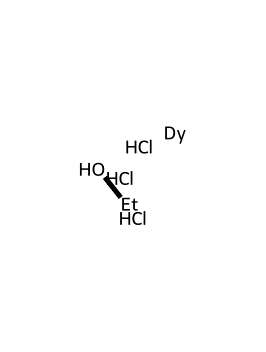 CCO.Cl.Cl.Cl.[Dy]